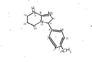 Cc1ccc(C2CN=C3NCCCN32)cc1